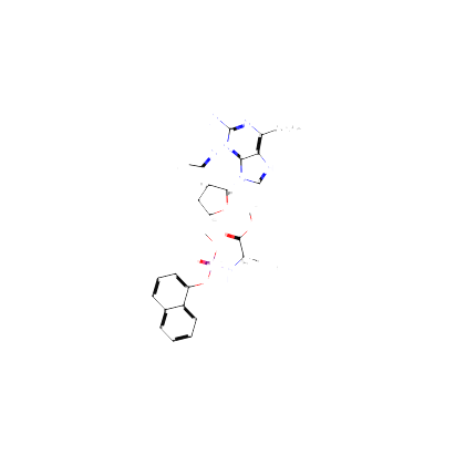 CNc1nc(N)nc2c1ncn2[C@@H]1O[C@H](CO[P@@](=O)(N[C@H](C)C(=O)OC(C)C)Oc2cccc3ccccc23)C[C@@H]1C(C)=N